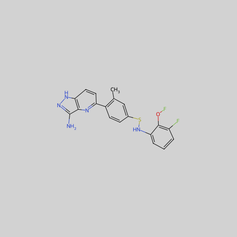 Cc1cc(SNc2cccc(F)c2OF)ccc1-c1ccc2[nH]nc(N)c2n1